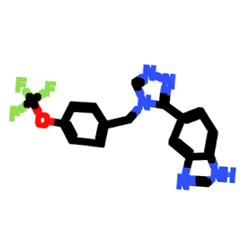 FC(F)(F)Oc1ccc(Cn2cnnc2-c2ccc3[nH]cnc3c2)cc1